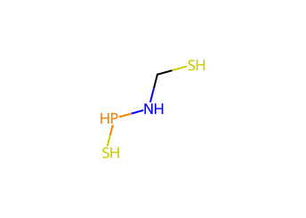 SCNPS